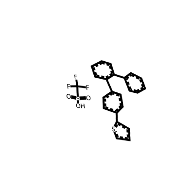 O=S(=O)(O)C(F)(F)F.c1ccc(-c2ccccc2-c2ccc(-c3cccs3)cc2)cc1